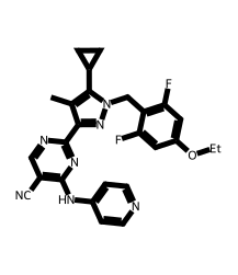 CCOc1cc(F)c(Cn2nc(-c3ncc(C#N)c(Nc4ccncc4)n3)c(C)c2C2CC2)c(F)c1